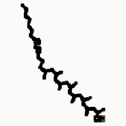 CCCCCCCOCOCCCC(C)CC(C)CC(C)CC(C)CC(C)CC(C)CC(C)CC(C)O